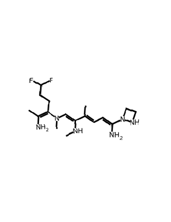 CNC(=C\N(C)/C(CCC(F)F)=C(/C)N)/C(C)=C/C=C(\N)N1CCN1